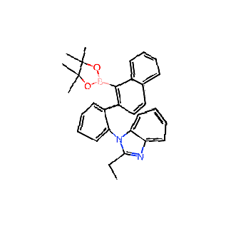 CCc1nc2ccccc2n1-c1ccccc1-c1ccc2ccccc2c1B1OC(C)(C)C(C)(C)O1